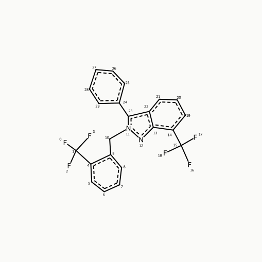 FC(F)(F)c1ccccc1Cn1nc2c(C(F)(F)F)cccc2c1-c1ccccc1